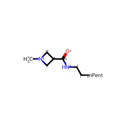 CCCCCCCNC(=O)C1CN(C)C1